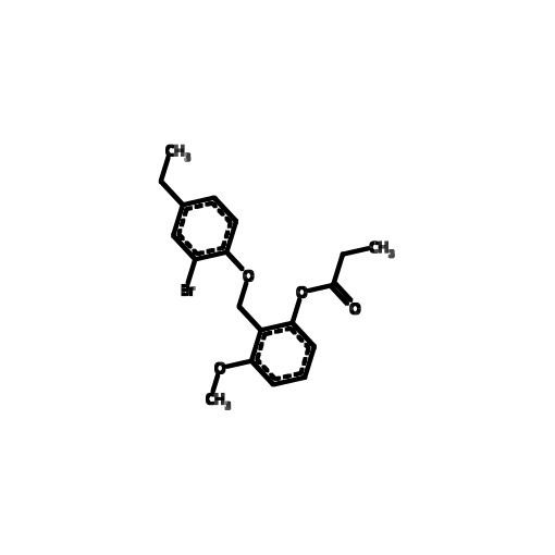 CCC(=O)Oc1cccc(OC)c1COc1ccc(CC)cc1Br